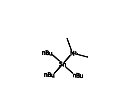 CCC[CH2][Sn]([CH2]CCC)([CH2]CCC)[N+](C)C